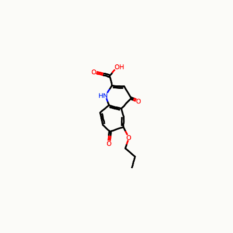 CCCOc1cc2c(=O)cc(C(=O)O)[nH]c2ccc1=O